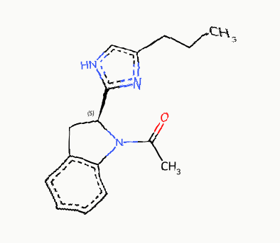 CCCc1c[nH]c([C@@H]2Cc3ccccc3N2C(C)=O)n1